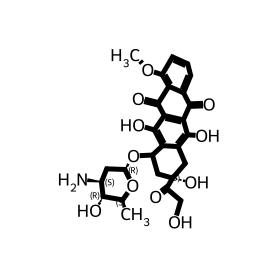 COc1cccc2c1C(=O)c1c(O)c3c(c(O)c1C2=O)C[C@@](O)(C(=O)CO)CC3O[C@H]1C[C@H](N)[C@@H](O)[C@H](C)O1